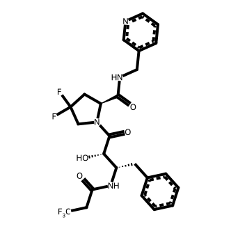 O=C(CC(F)(F)F)N[C@@H](Cc1ccccc1)[C@H](O)C(=O)N1CC(F)(F)C[C@H]1C(=O)NCc1cccnc1